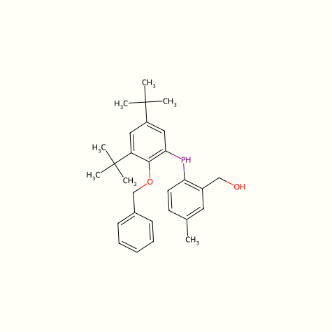 Cc1ccc(Pc2cc(C(C)(C)C)cc(C(C)(C)C)c2OCc2ccccc2)c(CO)c1